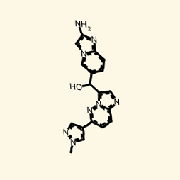 Cn1cc(-c2ccc3ncc(C(O)c4ccc5nc(N)cn5c4)n3n2)cn1